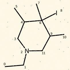 CCN1CC(C)C(C)(I)C(C)C1